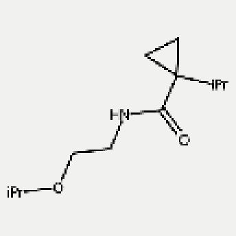 CC(C)OCCNC(=O)C1(C(C)C)CC1